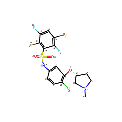 CN1CC[C@@H](Oc2cc(NS(=O)(=O)c3c(F)c(Br)cc(F)c3Br)ccc2Cl)C1